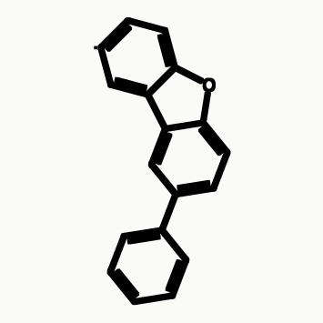 [c]1ccc2oc3ccc(-c4ccccc4)cc3c2c1